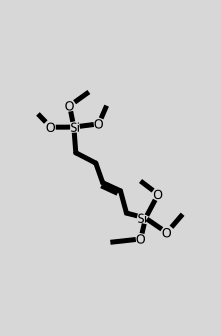 CO[Si](CC=CCC[Si](OC)(OC)OC)(OC)OC